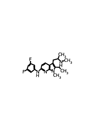 CCc1c(CC(C)NC)c2ccc(Nc3cc(F)cc(F)c3)nc2n1C